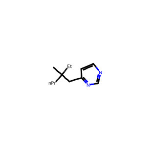 CCCC(C)(CC)Cc1ccncn1